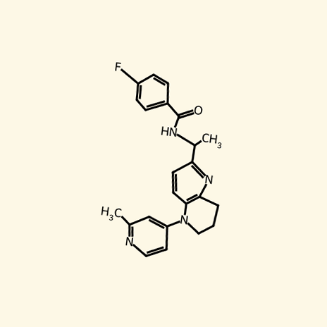 Cc1cc(N2CCCc3nc(C(C)NC(=O)c4ccc(F)cc4)ccc32)ccn1